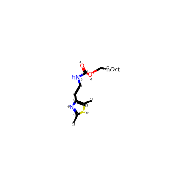 CCCCCCCCCOC(=O)NCCc1nc(C)sc1C